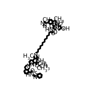 Cc1ncsc1-c1ccc([C@H](C)NC(=O)[C@@H]2C[C@@H](O)CN2C(=O)[C@@H](NC(=O)CCCCCCCCCCCCCn2nc(C)c(-c3ccc(N4CCc5cccc(C(=O)Nc6nc7ccccc7s6)c5C4)nc3C(=O)OC(C)(C)C)c2C)C(C)(C)C)cc1